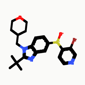 CC(C)(C)c1nc2cc([S+]([O-])c3ccncc3Br)ccc2n1CC1CCOCC1